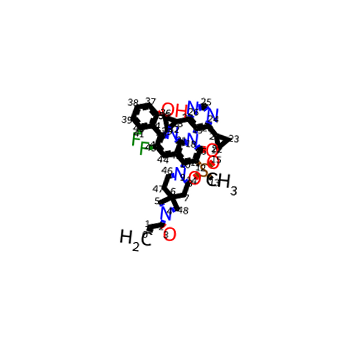 C=CC(=O)N1CC2(CCN(c3c(S(C)(=O)=O)c(=O)n(-c4c(C5CC5)ncnc4C4CC4)c4nc(-c5c(O)cccc5F)c(F)cc34)CC2)C1